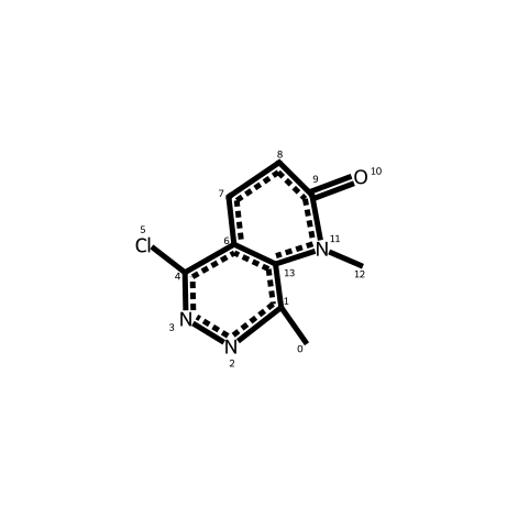 Cc1nnc(Cl)c2ccc(=O)n(C)c12